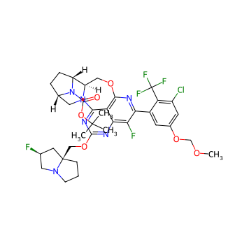 COCOc1cc(Cl)c(C(F)(F)F)c(-c2nc3c4c(nc(OC[C@@]56CCCN5C[C@@H](F)C6)nc4c2F)N2C[C@@H]4CC[C@H]([C@H]2CO3)N4C(=O)OC(C)(C)C)c1